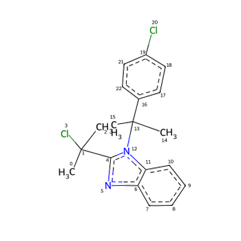 CC(C)(Cl)c1nc2ccccc2n1C(C)(C)c1ccc(Cl)cc1